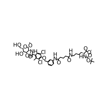 COC(=O)[C@H](CCCCNC(=O)CCCC(=O)Nc1cccc(COc2c(Cl)cc(C(=O)N[C@H]3[C@@H](OC)O[C@H](CO)[C@@H](O)[C@@H]3O)c(C)c2Cl)c1)NC(=O)OC(C)(C)C